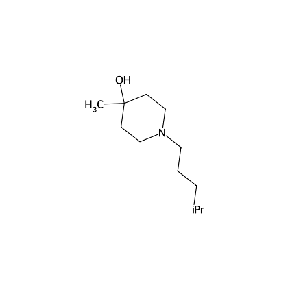 CC(C)CCCN1CCC(C)(O)CC1